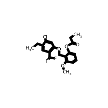 CCC(=O)Oc1cccc(OC)c1COc1cc(Cl)c(CC)cc1C(F)F